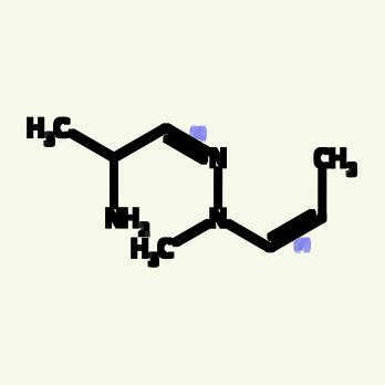 C/C=C\N(C)/N=C\C(C)N